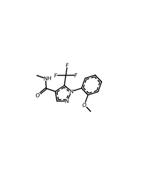 CNC(=O)c1cnn(-c2ccccc2OC)c1C(F)(F)F